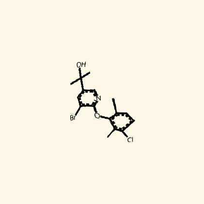 Cc1ccc(Cl)c(C)c1Oc1ncc(C(C)(C)O)cc1Br